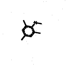 C[N]c1c(C)cc(C)cc1C